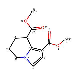 CCCOC(=O)c1ccn2c1C(C(=O)OCCC)CCC2